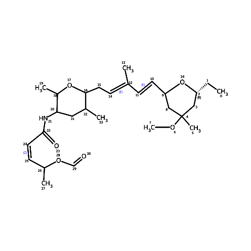 CC[C@@H]1CC(C)(OC)CC(/C=C/C(C)=C/CC2OC(C)C(NC(=O)/C=C\C(C)OC=O)CC2C)O1